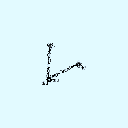 CC(C)(C)c1cc(OCCOCCOCCOCCOCCCCS(=O)(=O)[O-])c(OCCOCCOCCOCCOCCCCS(=O)(=O)[O-])c(C(C)(C)C)c1.[K+].[K+]